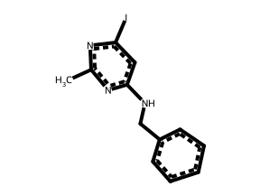 Cc1nc(I)cc(NCc2ccccc2)n1